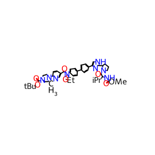 CCON(C(=O)c1ccc(N2CCN(C(=O)OC(C)(C)C)CC2C)nc1)c1ccc(-c2ccc(-c3c[nH]c(C4CCCN4C(=O)C(NC(=O)OC)C(C)C)n3)cc2)cc1